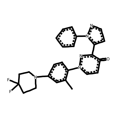 Cc1cc(N2CCC(F)(F)CC2)ccc1-n1ccc(=O)c(-c2ccnn2-c2ccccc2)n1